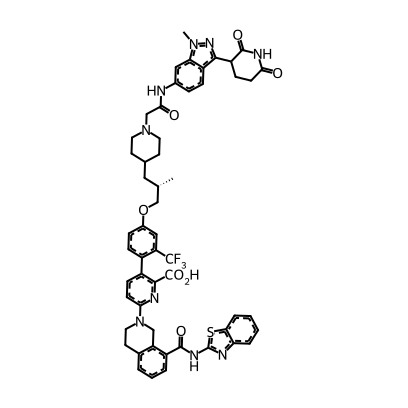 C[C@H](COc1ccc(-c2ccc(N3CCc4cccc(C(=O)Nc5nc6ccccc6s5)c4C3)nc2C(=O)O)c(C(F)(F)F)c1)CC1CCN(CC(=O)Nc2ccc3c(C4CCC(=O)NC4=O)nn(C)c3c2)CC1